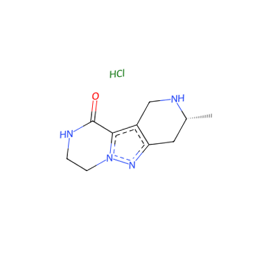 C[C@@H]1Cc2nn3c(c2CN1)C(=O)NCC3.Cl